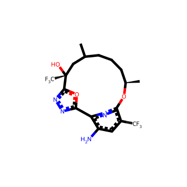 CC1CCC[C@@H](C)Oc2nc(c(N)cc2C(F)(F)F)-c2nnc(o2)[C@@](O)(C(F)(F)F)C1